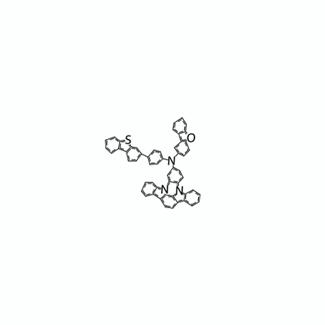 c1ccc2c(c1)oc1ccc(N(c3ccc(-c4ccc5c(c4)sc4ccccc45)cc3)c3ccc4c(c3)n3c5ccccc5c5ccc6c7ccccc7n4c6c53)cc12